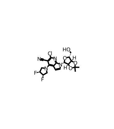 CC1(C)O[C@@H]2[C@H](O1)[C@@H](CO)O[C@H]2n1ccc2c(N3C[C@@H](F)[C@@H](F)C3)c(C#N)c(Cl)nc21